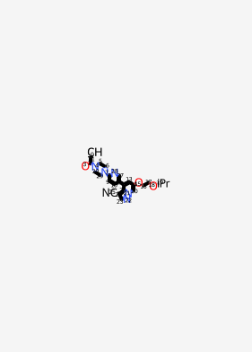 C#CC(=O)N1CCN(c2ccc(-c3cc(OCCOC(C)C)cn4ncc(C#N)c34)cn2)CC1